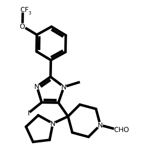 Cn1c(-c2cccc(OC(F)(F)F)c2)nc(I)c1C1(N2CCCC2)CCN(C=O)CC1